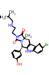 CC(C)CNCCN1C(=O)N2[C@H](c3cccc(O)c3)c3[nH]c4ccc(Br)cc4c3C[C@@]2(C)C1=O